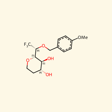 COc1ccc(CO[C@H]([C@H]2OCC[C@@H](O)[C@@H]2O)C(F)(F)F)cc1